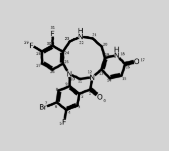 O=C1c2cc(F)c(Br)cc2N2CN1c1ccc(=O)[nH]c1CCNCc1c2ccc(F)c1F